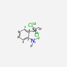 CN(C)c1ccccc1[Si](C)(Cl)Cl